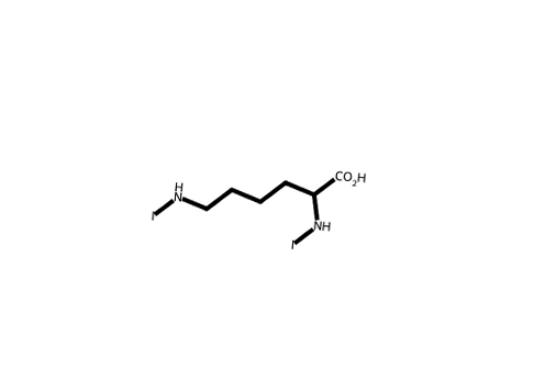 O=C(O)C(CCCCNI)NI